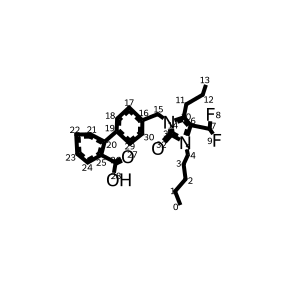 CCCCCn1c(C(F)F)c(CCC)n(Cc2ccc(-c3ccccc3C(=O)O)cc2)c1=O